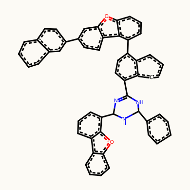 c1ccc(C2NC(c3ccc(-c4cccc5oc6cc(-c7ccc8ccccc8c7)ccc6c45)c4ccccc34)=NC(c3cccc4c3oc3ccccc34)N2)cc1